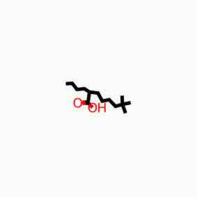 CCCCC(CCCCC(C)(C)C)C(=O)O